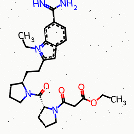 CCOC(=O)CC(=O)N1CCC[C@@H]1C(=O)N1CCC[C@H]1CCc1cc2ccc(C(=N)N)cc2n1CC